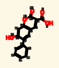 O=C(O)c1cc2cc(-c3ccccc3)c(O)cc2oc1=O